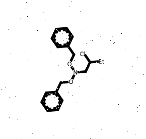 CCC(Cl)CN(OCc1ccccc1)OCc1ccccc1